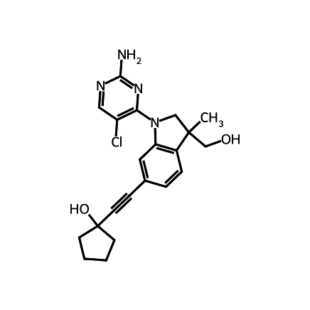 CC1(CO)CN(c2nc(N)ncc2Cl)c2cc(C#CC3(O)CCCC3)ccc21